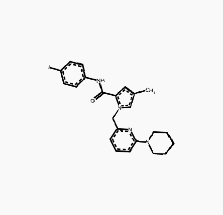 Cc1cc(C(=O)Nc2ccc(I)cc2)n(Cc2cccc(N3CCCCC3)n2)c1